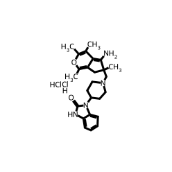 CC1=C(C)C2=C(N)C(C)(CN3CCC(n4c(=O)[nH]c5ccccc54)CC3)CC2=C(C)O1.Cl.Cl